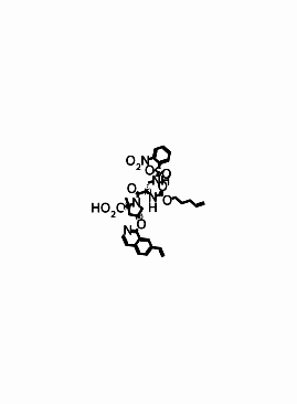 C=CCCCOC(=O)N[C@@H](CNS(=O)(=O)c1ccccc1[N+](=O)[O-])C(=O)N1C[C@H](Oc2nccc3ccc(C=C)cc23)C[C@@]1(C)C(=O)O